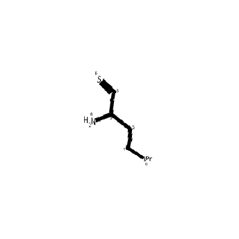 CC(C)CCC(N)C=S